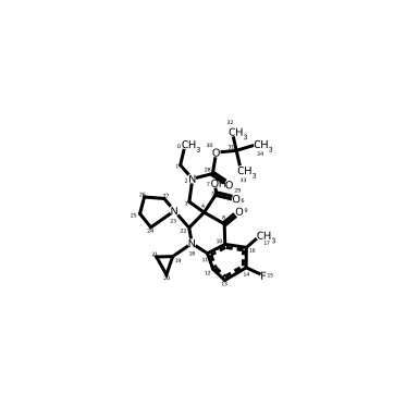 CCN(CC1(C(=O)O)C(=O)c2c(ccc(F)c2C)N(C2CC2)C1N1CCCC1)C(=O)OC(C)(C)C